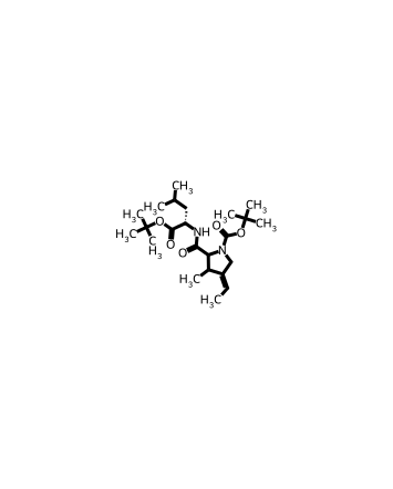 C/C=C1/CN(C(=O)OC(C)(C)C)C(C(=O)N[C@@H](CC(C)C)C(=O)OC(C)(C)C)C1C